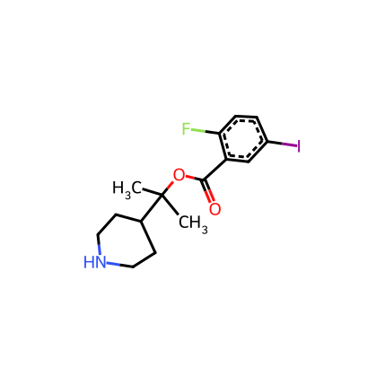 CC(C)(OC(=O)c1cc(I)ccc1F)C1CCNCC1